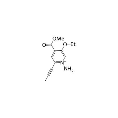 CC#Cc1cc(C(=O)OC)c(OCC)c[n+]1N